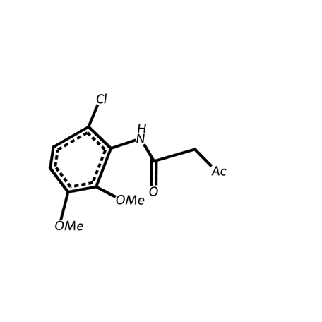 COc1ccc(Cl)c(NC(=O)CC(C)=O)c1OC